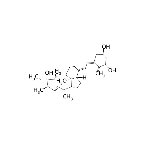 C=C1/C(=C\C=C2/CCC[C@]3(C)[C@@H]([C@H](C)/C=C/[C@@H](C)C(O)(CC)CC)CC[C@@H]23)C[C@@H](O)C[C@@H]1O